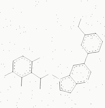 CC(On1ccc2ncc(-c3cccc(CO)c3)cc21)c1c(Cl)ccc(F)c1Cl